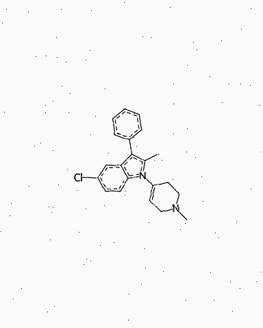 Cc1c(-c2ccccc2)c2cc(Cl)ccc2n1C1=CCN(C)CC1